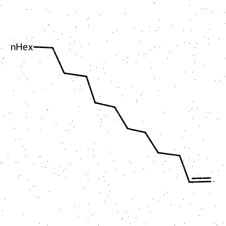 [CH]=CCCCCCCCCCCCCCC[CH2]